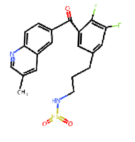 Cc1cnc2ccc(C(=O)c3cc(CCCN[SH](=O)=O)cc(F)c3F)cc2c1